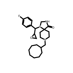 O=C1NCN(C(c2ccc(F)cc2)C2CO2)C12CCN(CC1CCCCCCC1)CC2